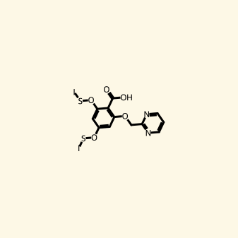 O=C(O)c1c(OCc2ncccn2)cc(OSI)cc1OSI